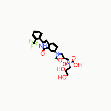 O=C(O)[N+]([O-])(CC(O)CO)CC1CN(c2ccc3cc(-c4ccccc4C(F)(F)F)[nH]c(=O)c3c2)CO1